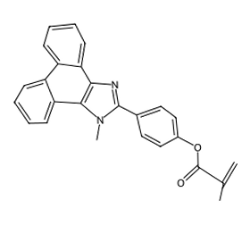 C=C(C)C(=O)Oc1ccc(-c2nc3c4ccccc4c4ccccc4c3n2C)cc1